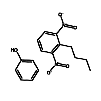 CCCCc1c([N+](=O)[O-])cccc1[N+](=O)[O-].Oc1ccccc1